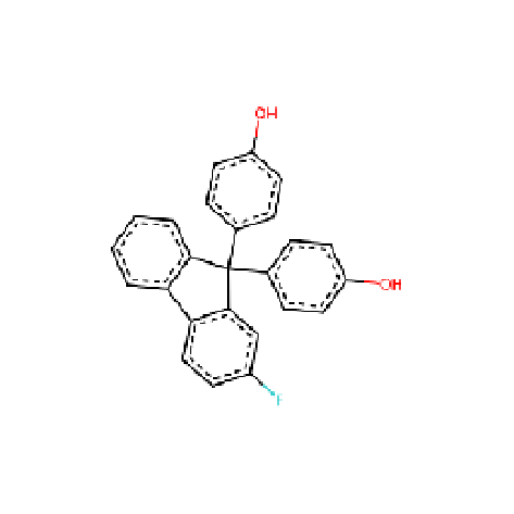 Oc1ccc(C2(c3ccc(O)cc3)c3ccccc3-c3ccc(F)cc32)cc1